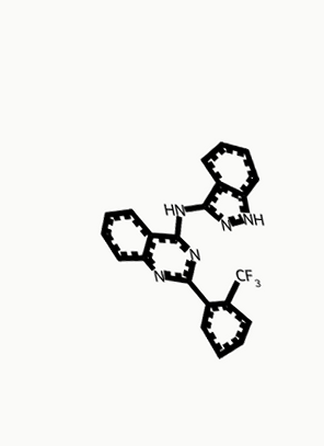 FC(F)(F)c1ccccc1-c1nc(Nc2n[nH]c3ccccc23)c2ccccc2n1